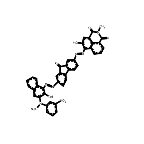 CON(c1cccc([N+](=O)[O-])c1)c1cc2ccccc2c(N=Nc2ccc3c(c2)C(=O)c2cc(N=Nc4c(O)cc5c6c(cccc46)C(=O)N(C)C5=O)ccc2-3)c1O